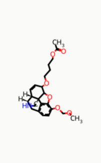 COCOc1ccc2c3c1OC1C(OCCCCOC(C)=O)C=C[C@H]4[C@@H](C2)NCC[C@]314